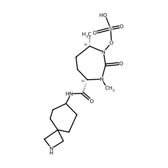 C[C@H]1CC[C@@H](C(=O)NC2CCC3(CC2)CNC3)N(C)C(=O)N1OS(=O)(=O)O